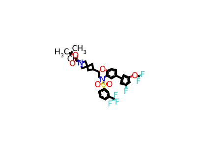 CC(C)(C)OC(=O)N1CC2(CC(C3CN(S(=O)(=O)c4cccc(C(F)(F)F)c4)c4cc(-c5cc(F)cc(OC(F)F)c5)ccc4O3)C2)C1